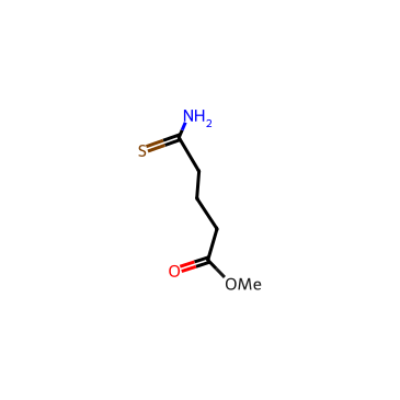 COC(=O)CCCC(N)=S